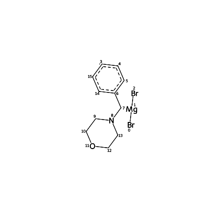 [Br][Mg][Br].[c]1ccc(CN2CCOCC2)cc1